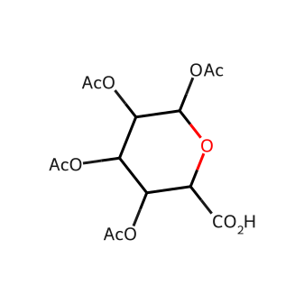 CC(=O)OC1OC(C(=O)O)C(OC(C)=O)C(OC(C)=O)C1OC(C)=O